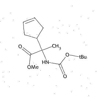 COC(=O)C(C)(NC(=O)OC(C)(C)C)C1CC=CC1